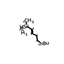 CCCCCCC=C[SiH](C)C